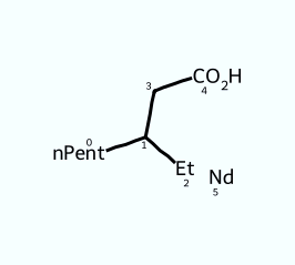 CCCCCC(CC)CC(=O)O.[Nd]